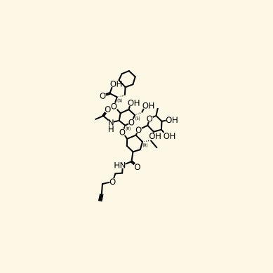 C#CCOCCNC(=O)C1CC(O[C@@H]2O[C@@H](CO)C(O)C(O[C@@H](CC3CCCCC3)C(=O)O)C2NC(C)=O)C(OC2OC(C)C(O)C(O)C2O)[C@H](CC)C1